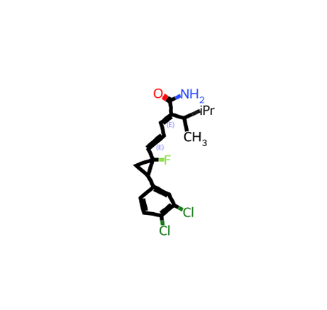 CC(C)C(C)/C(=C\C=C\C1(F)CC1c1ccc(Cl)c(Cl)c1)C(N)=O